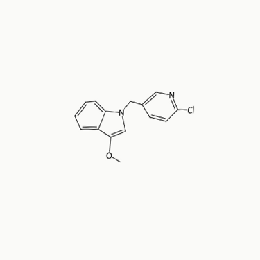 COc1cn(Cc2ccc(Cl)nc2)c2ccccc12